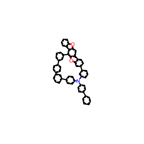 c1ccc(-c2ccc(N(c3ccc(-c4ccccc4)cc3)c3cccc(-c4ccc5c(c4)oc4c(-c6cccc(-c7ccccc7)c6)c6c(cc45)oc4ccccc46)c3)cc2)cc1